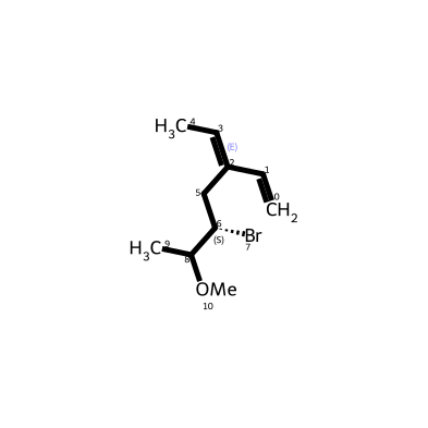 C=C/C(=C/C)C[C@H](Br)C(C)OC